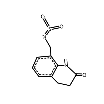 O=C1CCc2cccc(CN=S(=O)=O)c2N1